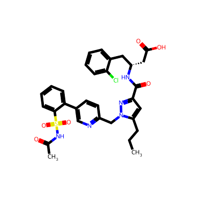 CCCc1cc(C(=O)N[C@@H](CC(=O)O)Cc2ccccc2Cl)nn1Cc1ccc(-c2ccccc2S(=O)(=O)NC(C)=O)cn1